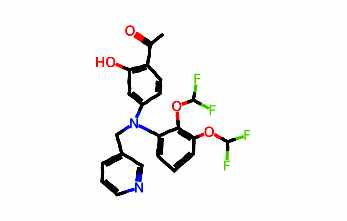 CC(=O)c1ccc(N(Cc2cccnc2)c2cccc(OC(F)F)c2OC(F)F)cc1O